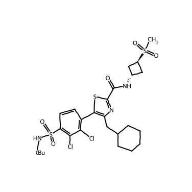 CC(C)(C)NS(=O)(=O)c1ccc(-c2sc(C(=O)N[C@H]3C[C@H](S(C)(=O)=O)C3)nc2CC2CCCCC2)c(Cl)c1Cl